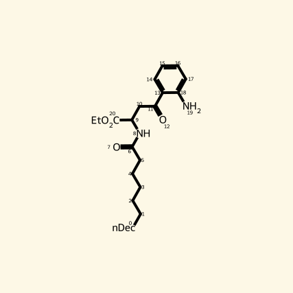 CCCCCCCCCCCCCCCC(=O)NC(CC(=O)c1ccccc1N)C(=O)OCC